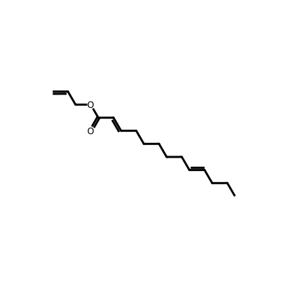 C=CCOC(=O)/C=C/CCCCC/C=C/CCC